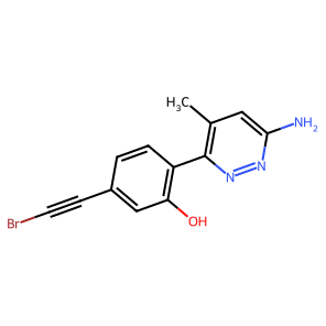 Cc1cc(N)nnc1-c1ccc(C#CBr)cc1O